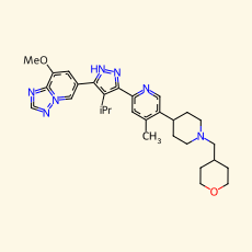 COc1cc(-c2[nH]nc(-c3cc(C)c(C4CCN(CC5CCOCC5)CC4)cn3)c2C(C)C)cn2ncnc12